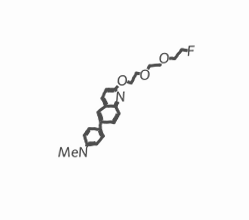 CNc1ccc(-c2ccc3nc(OCCOCCOCCF)ccc3c2)cc1